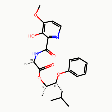 COc1ccnc(C(=O)N[C@@H](C)C(=O)O[C@@H](C)[C@@H](CC(C)C)Oc2ccccc2)c1O